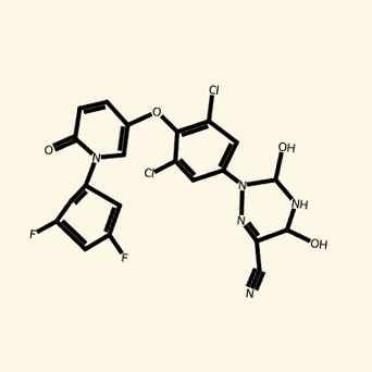 N#CC1=NN(c2cc(Cl)c(Oc3ccc(=O)n(-c4cc(F)cc(F)c4)c3)c(Cl)c2)C(O)NC1O